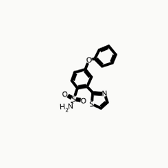 NS(=O)(=O)c1ccc(Oc2ccccc2)cc1-c1nccs1